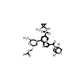 C[C@H]1CN(c2cc(S(=O)(=O)NC3(C)CC3)cn3c(C(=O)N4C[C@H]5C[C@@H]4CO5)cnc23)C[C@H](COC(F)F)O1